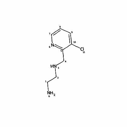 NCCNCc1ncccc1Cl